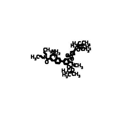 CCCN(CCC)C(=O)C1=Cc2ccc(-c3ccc(CN(C)C(=O)OC(C)(C)C)c(S(=O)(=O)N4CC(CO[Si](C)(C)C(C)(C)C)C4)c3)cc2N=C(N)C1